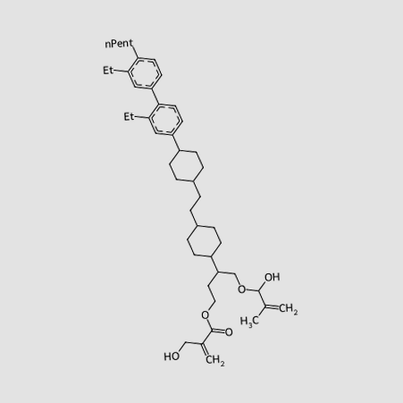 C=C(CO)C(=O)OCCC(COC(O)C(=C)C)C1CCC(CCC2CCC(c3ccc(-c4ccc(CCCCC)c(CC)c4)c(CC)c3)CC2)CC1